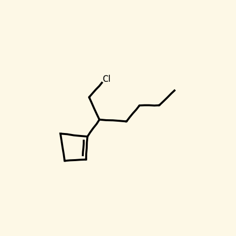 CCCCC(CCl)C1=CCC1